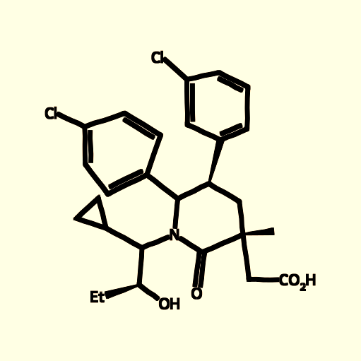 CC[C@H](O)C(C1CC1)N1C(=O)[C@@](C)(CC(=O)O)C[C@H](c2cccc(Cl)c2)C1c1ccc(Cl)cc1